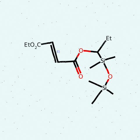 CCOC(=O)/C=C/C(=O)OC(CC)[Si](C)(C)O[Si](C)(C)C